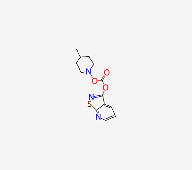 CC1CCN(OC(=O)Oc2nsc3ncccc23)CC1